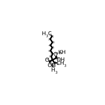 CCCCCCCCCC(C(=O)O)(C(=O)O)C(C)C.[KH]